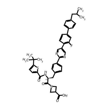 CC(C)Cc1ccc(-c2ccc(-c3cnc(-c4ccc(C[C@H](NC(=O)c5ccc(C(C)(C)C)s5)C(=O)N5CC(C(=O)O)C5)cc4)nc3)c(F)c2)cc1